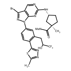 CNC(=O)[C@]1(C)CC[C@@H](Nc2ncc3c(Br)nn(-c4ccc(-c5nnc(C)s5)c(CC(O)C(F)(F)F)c4)c3n2)C1